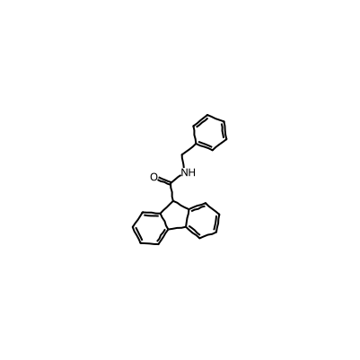 O=C(NCc1ccccc1)C1c2ccccc2-c2ccccc21